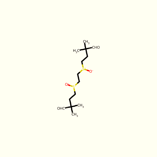 CC(C)(C=O)CC[S+]([O-])CC[S+]([O-])CCC(C)(C)C=O